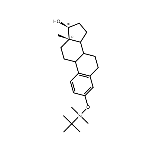 CC(C)(C)[Si](C)(C)Oc1ccc2c(c1)CCC1C2CC[C@@]2(C)C1CC[C@@H]2O